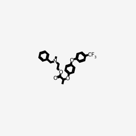 CC(Oc1ccc(Oc2ccc(C(F)(F)F)cc2)cc1)C(=O)OCCN(C)Cc1ccccc1